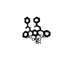 CC(CC(c1ccccc1)c1cc(C(CC(C)c2ccccc2)c2ccccc2)c(O)c(S(=O)(=O)O)c1O)c1ccccc1